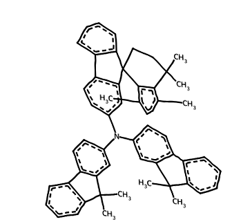 Cc1ccc(C)c2c1C(C)(C)CCC21c2ccccc2-c2ccc(N(c3ccc4c(c3)C(C)(C)c3ccccc3-4)c3ccc4c(c3)C(C)(C)c3ccccc3-4)cc21